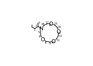 CCC(C)N1CCOCCOCCOCCOCC1